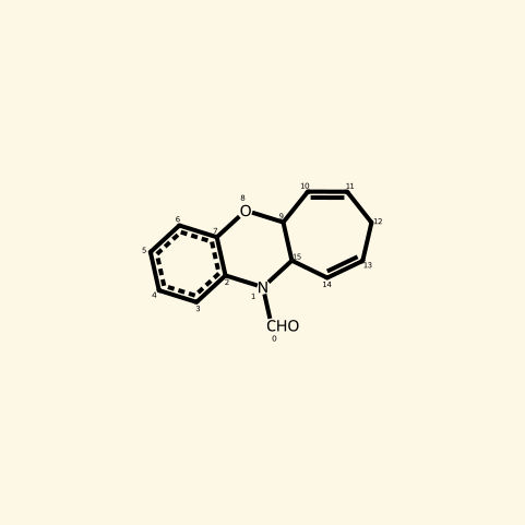 O=CN1c2ccccc2OC2C=CCC=CC21